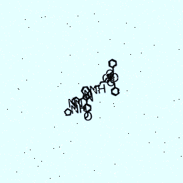 COc1ccc(-c2nn3c(NCCCCOP(=O)(OCc4ccccc4)OCc4ccccc4)cccc3c2-c2ccnc(NC3CCCC3)n2)cc1